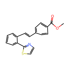 COC(=O)c1ccc(/C=C/c2ccccc2-c2nccs2)cc1